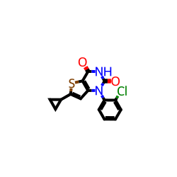 O=c1[nH]c(=O)n(-c2ccccc2Cl)c2cc(C3CC3)sc12